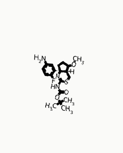 COC1CC[C@]2(c3cc(N)ccc3F)N=C(NC(=O)OC(C)(C)C)SC[C@H]12